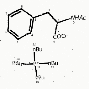 CC(=O)NC(Cc1ccccc1)C(=O)[O-].CCCC[P+](CCCC)(CCCC)CCCC